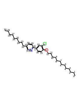 CCCCCCCCCCCCCOc1ccc(-c2ccc(CCCCCCCCC)cn2)cc1Cl